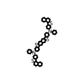 c1ccc(N(c2ccc3c(c2)sc2cc4cc5c(cc4cc23)sc2cc(N(c3ccccc3)c3ccc4c(c3)sc3ccc6ccccc6c34)ccc25)c2ccc3c(c2)sc2ccc4ccccc4c23)cc1